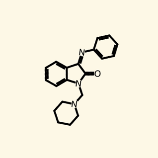 O=C1/C(=N\c2ccccc2)c2ccccc2N1CN1CCCCC1